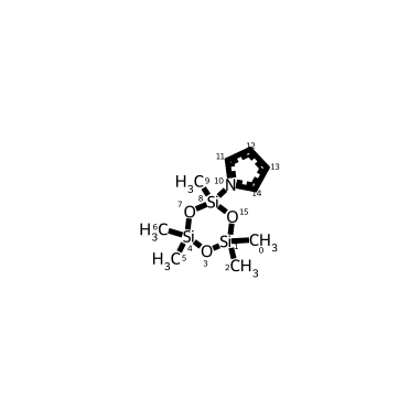 C[Si]1(C)O[Si](C)(C)O[Si](C)(n2cccc2)O1